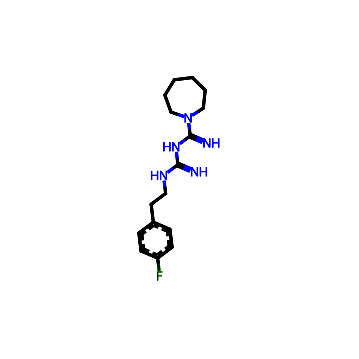 N=C(NCCc1ccc(F)cc1)NC(=N)N1CCCCCC1